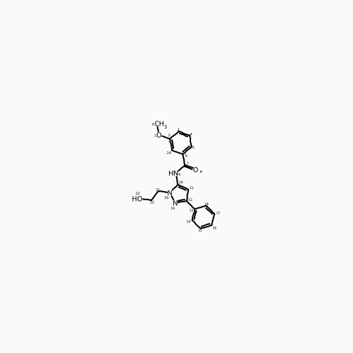 COc1cccc(C(=O)Nc2cc(-c3ccccc3)nn2CCO)c1